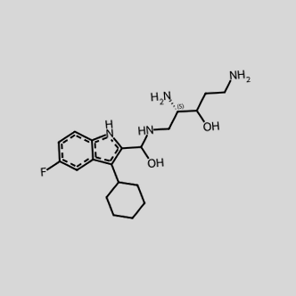 NCCC(O)[C@@H](N)CNC(O)c1[nH]c2ccc(F)cc2c1C1CCCCC1